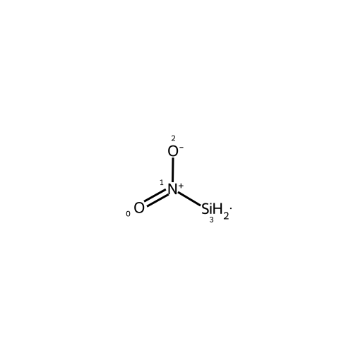 O=[N+]([O-])[SiH2]